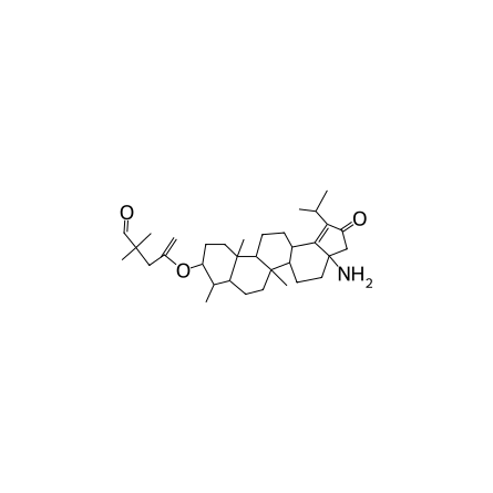 C=C(CC(C)(C)C=O)OC1CCC2(C)C(CCC3(C)C4CCC5(N)CC(=O)C(C(C)C)=C5C4CCC32)C1C